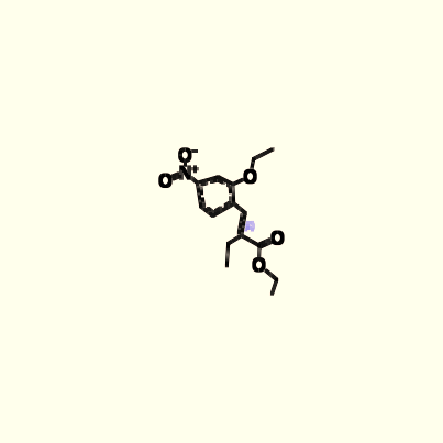 CCOC(=O)/C(=C/c1ccc([N+](=O)[O-])cc1OCC)CC